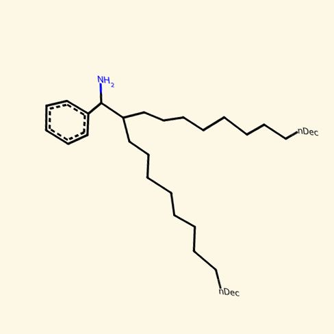 CCCCCCCCCCCCCCCCCCC(CCCCCCCCCCCCCCCCCC)C(N)c1ccccc1